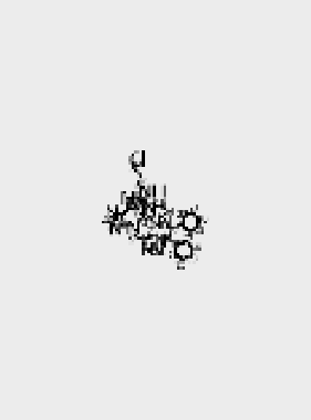 Nc1ncn(Cc2cn([C@H](c3ccccc3)[C@H](c3ccccc3)N3CCN(C(=O)NCCCCl)CC3)nn2)c2ncnc1-2